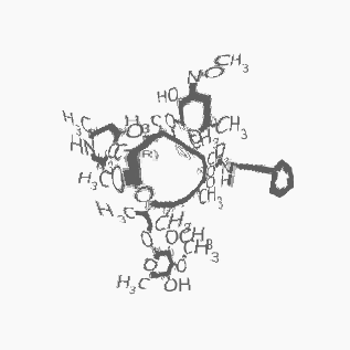 CON=C1C[C@@H](C)O[C@@H](O[C@@H]2[C@@H](C)[C@H](O[C@H]3C[C@@H](C)NC[C@H](C)O3)[C@@H](C)C(=O)O[C@@H](C(C)CO[C@@H]3O[C@H](C)[C@@H](O)[C@@H](OC)[C@H]3OC)[C@@H](C)[CH][C@@H](C)C(=O)[C@@](C)(OC(=O)NCc3ccccc3)C[C@@H]2C)[C@@H]1O